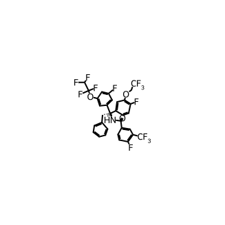 O=C(N[C@@](Cc1ccccc1)(c1cc(F)cc(OC(F)(F)C(F)F)c1)c1ccc(F)c(OCC(F)(F)F)c1)c1ccc(F)c(C(F)(F)F)c1